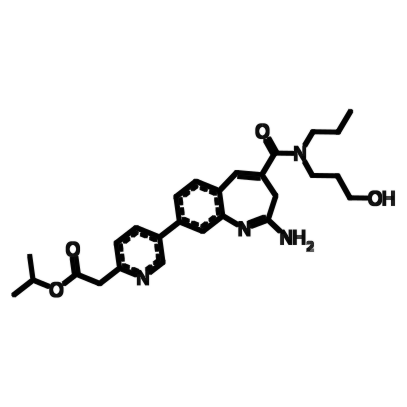 CCCN(CCCO)C(=O)C1=Cc2ccc(-c3ccc(CC(=O)OC(C)C)nc3)cc2N=C(N)C1